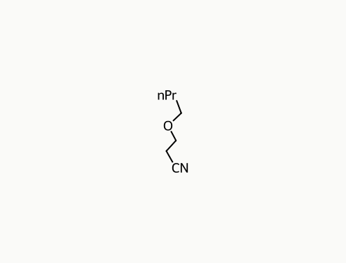 CCCCOCCC#N